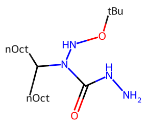 CCCCCCCCC(CCCCCCCC)N(NOC(C)(C)C)C(=O)NN